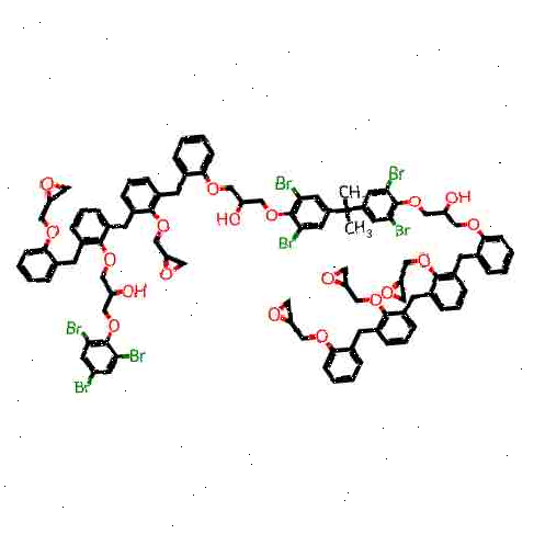 CC(C)(c1cc(Br)c(OCC(O)COc2ccccc2Cc2cccc(Cc3cccc(Cc4ccccc4OCC4CO4)c3OCC(O)COc3c(Br)cc(Br)cc3Br)c2OCC2CO2)c(Br)c1)c1cc(Br)c(OCC(O)COc2ccccc2Cc2cccc(Cc3cccc(Cc4ccccc4OCC4CO4)c3OCC3CO3)c2OCC2CO2)c(Br)c1